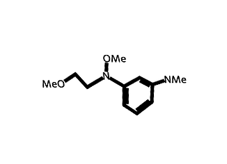 CNc1cccc(N(CCOC)OC)c1